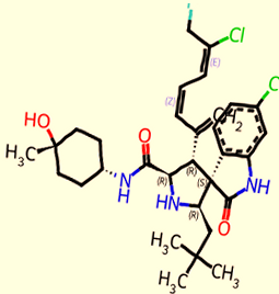 C=C(/C=C\C=C(\Cl)CF)[C@H]1[C@H](C(=O)N[C@H]2CC[C@@](C)(O)CC2)N[C@H](CC(C)(C)C)[C@]12C(=O)Nc1cc(Cl)ccc12